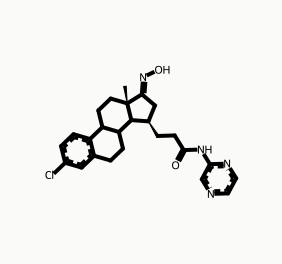 C[C@]12CCC3c4ccc(Cl)cc4CCC3C1[C@H](CCC(=O)Nc1cnccn1)C/C2=N\O